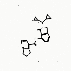 O=C(Nc1cccc2c1C(=O)N(C(C1CC1)C1CC1)C2)c1ccnc2c1CCC2